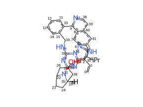 C=CC(=O)Nc1ccc2c(-c3ccccc3CNc3nc(N4C5CC[C@H]4CC(O)C5)nc4c(C(C)C)cnn34)nccc2c1